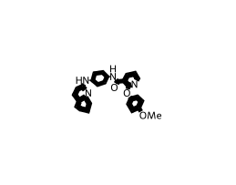 COc1ccc(Oc2ncccc2C(=O)N[C@H]2CC[C@@H](Nc3ccc4ccccc4n3)CC2)cc1